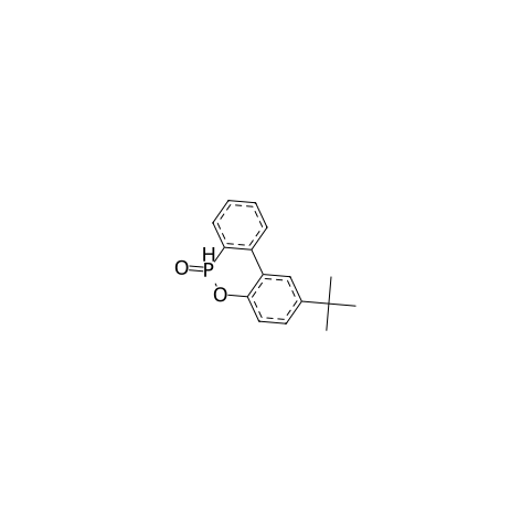 CC(C)(C)c1ccc2c(c1)-c1ccccc1[PH](=O)O2